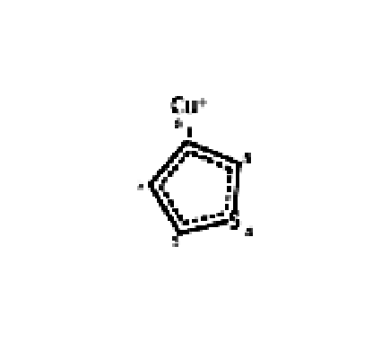 [Cu+].c1ccsc1